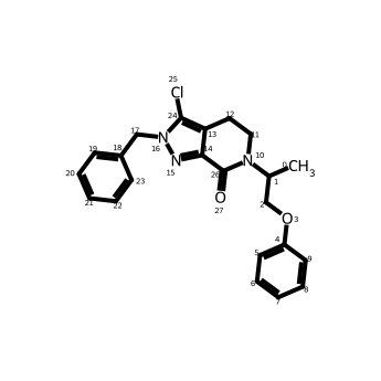 CC(COc1ccccc1)N1CCc2c(nn(Cc3ccccc3)c2Cl)C1=O